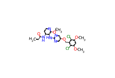 C=CC(=O)Nc1ccnc(OC)c1Nc1ncc(OCc2c(Cl)c(OC)cc(OC)c2Cl)cn1